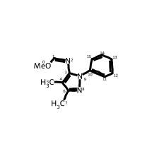 CO/C=N\c1c(C)c(C)nn1-c1ccccc1